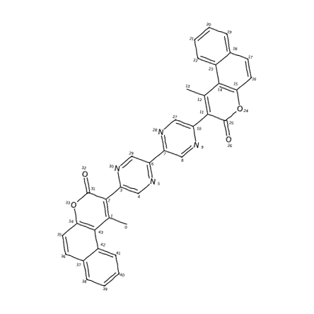 Cc1c(-c2cnc(-c3cnc(-c4c(C)c5c(ccc6ccccc65)oc4=O)cn3)cn2)c(=O)oc2ccc3ccccc3c12